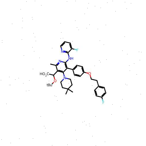 Cc1nc(Nc2ncccc2F)c(-c2ccc(OCCc3ccc(F)cc3)cc2)c(N2CCC(C)(C)CC2)c1C(OC(C)(C)C)C(=O)O